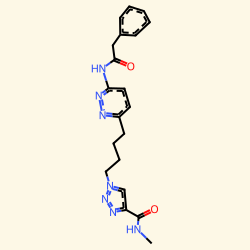 CNC(=O)c1cn(CCCCc2ccc(NC(=O)Cc3ccccc3)nn2)nn1